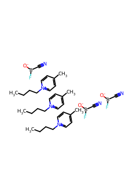 CCCC[n+]1ccc(C)cc1.CCCC[n+]1ccc(C)cc1.CCCC[n+]1ccc(C)cc1.N#CB([O-])F.N#CB([O-])F.N#CB([O-])F